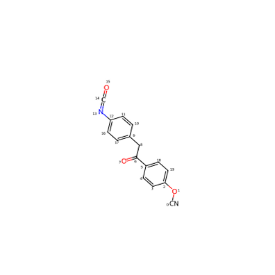 N#COc1ccc(C(=O)Cc2ccc(N=C=O)cc2)cc1